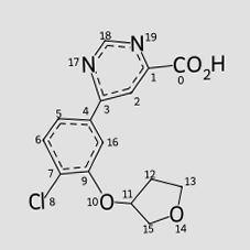 O=C(O)c1cc(-c2ccc(Cl)c(OC3CCOC3)c2)ncn1